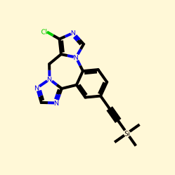 C[Si](C)(C)C#Cc1ccc2c(c1)-c1ncnn1Cc1c(Cl)ncn1-2